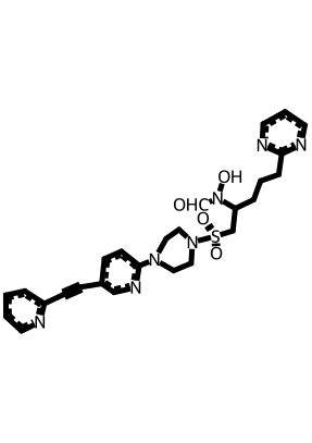 O=CN(O)C(CCCc1ncccn1)CS(=O)(=O)N1CCN(c2ccc(C#Cc3ccccn3)cn2)CC1